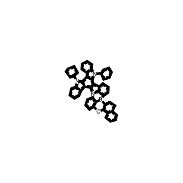 c1ccc(-n2c3ccccc3c3c2c2c4cccc5c4n(c2c2c4ccccc4n(-c4ccccc4)c32)-c2cccc3c2B5c2ccc4ccccc4c2O3)cc1